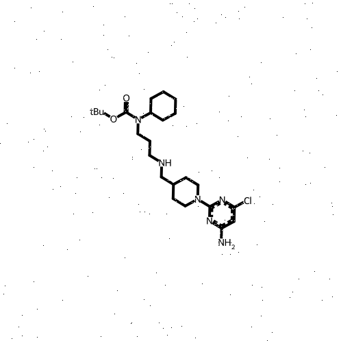 CC(C)(C)OC(=O)N(CCCNCC1CCN(c2nc(N)cc(Cl)n2)CC1)C1CCCCC1